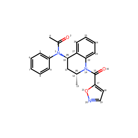 CC(=O)N(c1ccccc1)[C@@H]1C[C@@H](C)N(C(=O)c2ccno2)c2ccccc21